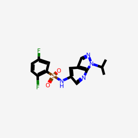 CC(C)n1ncc2cc(NS(=O)(=O)c3cc(F)ccc3F)cnc21